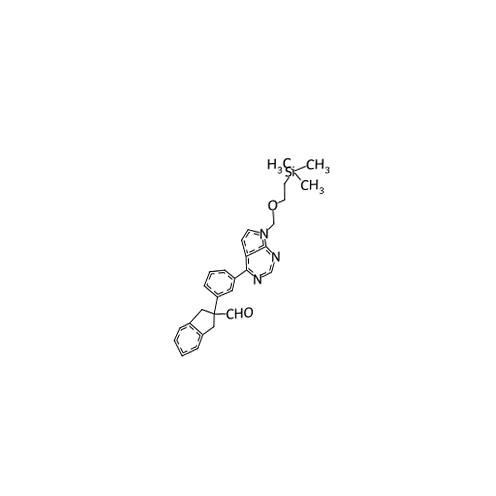 C[Si](C)(C)CCOCn1ccc2c(-c3cccc(C4(C=O)Cc5ccccc5C4)c3)ncnc21